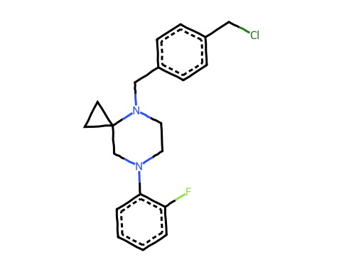 Fc1ccccc1N1CCN(Cc2ccc(CCl)cc2)C2(CC2)C1